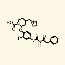 O=C(Cc1ccccc1)NC(=S)Nc1ccc(OC2CC(CN3CCC3)CCN2C(=O)O)c(F)c1